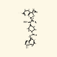 NC(C(=O)NCC1(c2ccc(Cl)cc2)CC1)C1CCC(C(O)Nc2ccnc3[nH]ccc23)CC1